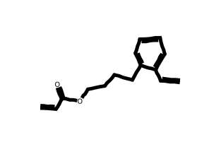 C=CC(=O)OCCCCc1ccccc1C=C